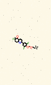 CC1(F)CCc2nc(-c3cc(F)c(OCOCC[Si](C)(C)C)c(F)c3)ccc2C1=O